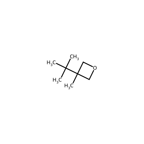 CC(C)(C)C1(C)COC1